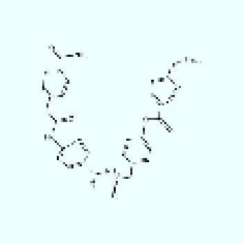 CCCCCCCOc1ccc(C(=O)Oc2ccc(C[C@H](NC(=O)c3ccc(NC(=O)Cc4ccc(C(N)=O)cc4)cc3)C(C)=O)cc2)cc1